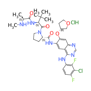 CN[C@@H](C)C(=O)N[C@H](C(=O)N1CCC[C@H]1C(=O)Nc1cc2c(Nc3ccc(F)c(Cl)c3F)ncnc2cc1O[C@@H]1CCOC1)C(C)(C)C.Cl